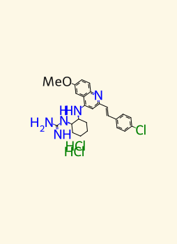 COc1ccc2nc(C=Cc3ccc(Cl)cc3)cc(N[C@H]3CCCC[C@H]3NC(=N)N)c2c1.Cl.Cl